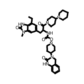 CCc1cc(CC(NC(=O)ON2CCC(N3Cc4ccccc4NC3=O)CC2)C(=O)N2CCC(N3CCCCC3)CC2)cc2c1[nH]c(=O)n2C